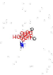 [N-]=[N+]=NCCO[C@@H]1OC(CO)[C@@H](O)C(O[C@H]2OC[C@@H](OCc3ccccc3)C(OCc3ccccc3)C2O)C1O